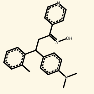 Cc1ccccc1C(CC(=NO)c1ccncc1)c1ccc(N(C)C)cc1